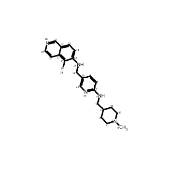 CN1CCC(CNc2ccc(CNc3ccc4cnccc4c3F)cn2)CC1